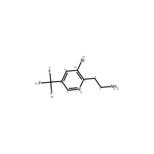 NCCc1ncc(C(F)(F)F)cc1Br